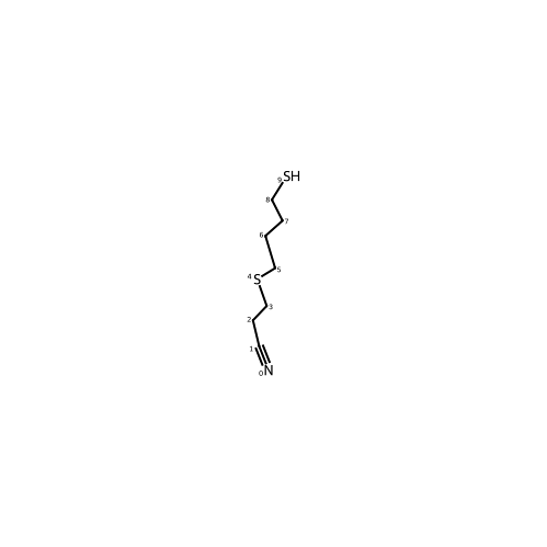 N#CCCSCCCCS